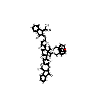 N#CC(C#N)=C1/C(=N\c2cc3sc4c(c3s2)C(C(=O)OCc2ccccc2)(C(=O)OCc2ccccc2)c2c-4sc3cc(/N=C4/C(=C(C#N)C#N)c5ccccc5C4O)sc23)C(=O)c2ccccc21